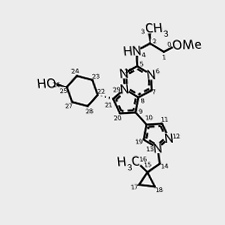 COC[C@H](C)Nc1ncc2c(-c3cnn(CC4(C)CC4)c3)cc([C@H]3CC[C@H](O)CC3)n2n1